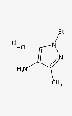 CCn1cc(N)c(C)n1.Cl.Cl